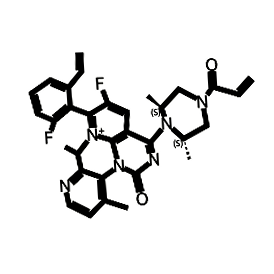 C=CC(=O)N1C[C@H](C)N(c2nc(=O)n3c4c2cc(F)c(-c2c(F)cccc2C=C)[n+]4C(C)c2nccc(C)c2-3)[C@@H](C)C1